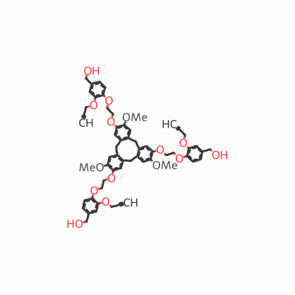 C#CCOc1cc(CO)ccc1OCCOc1cc2c(cc1OC)Cc1cc(OCCOc3ccc(CO)cc3OCC#C)c(OC)cc1Cc1cc(OCCOc3ccc(CO)cc3OCC#C)c(OC)cc1C2